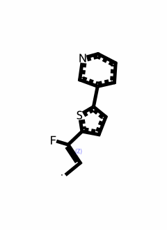 [CH2]/C=C(\F)c1ccc(-c2cccnc2)s1